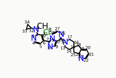 CN(c1nccc(-c2ncc3c(N4CCC5(CC4)Cc4cccnc4C5)nccn23)c1Cl)C1CC1